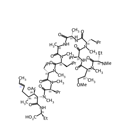 C/C=C/C[C@@H](C)[C@@H](OC(C)=O)[C@@H](C(=O)N[C@@H](CC)C(=O)O)N(C)C(=O)[C@H](C(C)C)N(C)C(=O)[C@H](CC(C)C)N(C)C(=O)[C@H](CC(C)C)N(C)C(=O)[C@@H](C)NC(=O)[C@H](C)NC(=O)[C@H](CC(C)C)N(C)C(=O)[C@@H](NC(=O)[C@H]([C@H](C)COC)N(C)C(=O)[C@H](CC)NC)C(C)C